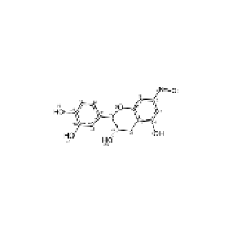 O=Nc1cc(O)c2c(c1)OC(c1ccc(O)c(O)c1)[C@@H](O)C2